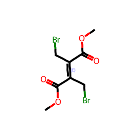 COC(=O)/C(CBr)=C(\CBr)C(=O)OC